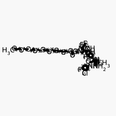 COCCOCCOCCOCCOCCOCCOCCOCCOC(=O)OCn1cc([C@]2(O)C[C@H]3C[C@@H](c4nn(C)c(N)c4C(=O)Nc4ccc(F)c(Cl)c4)C[C@H]3C2)c(C(F)(F)F)n1